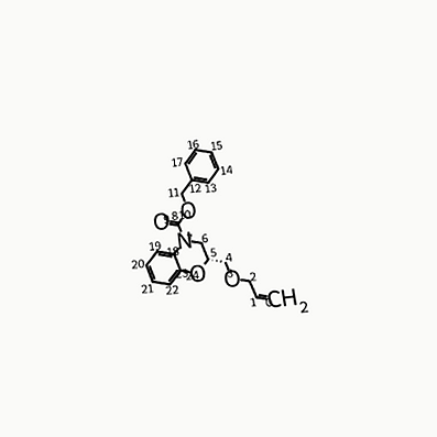 C=CCOC[C@H]1CN(C(=O)OCc2ccccc2)c2ccccc2O1